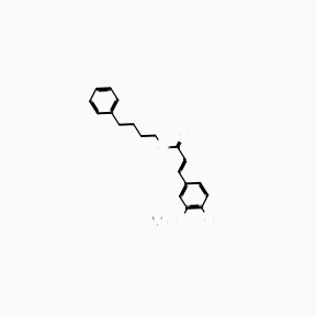 COc1cc(C=CC(=O)OCCCCc2ccccc2)ccc1O